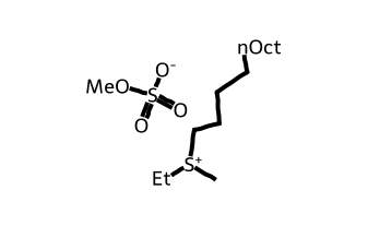 CCCCCCCCCCCC[S+](C)CC.COS(=O)(=O)[O-]